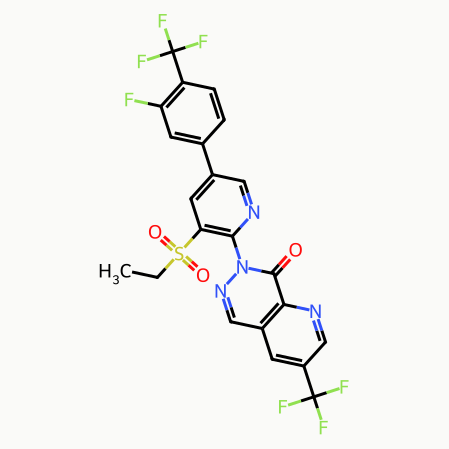 CCS(=O)(=O)c1cc(-c2ccc(C(F)(F)F)c(F)c2)cnc1-n1ncc2cc(C(F)(F)F)cnc2c1=O